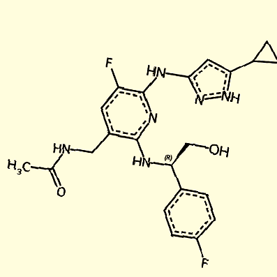 CC(=O)NCc1cc(F)c(Nc2cc(C3CC3)[nH]n2)nc1N[C@@H](CO)c1ccc(F)cc1